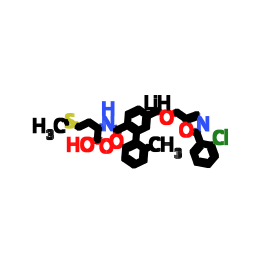 CSCCC(NC(=O)c1ccc(COCc2cnc(-c3ccccc3Cl)o2)cc1-c1ccccc1C)C(=O)O.[LiH]